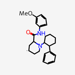 COc1cccc(NC(=O)C2C[CH]CCN2C2CCCCC2c2ccccc2)c1